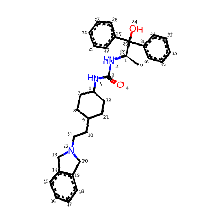 C[C@@H](NC(=O)NC1CCC(CCN2Cc3ccccc3C2)CC1)C(O)(c1ccccc1)c1ccccc1